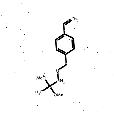 C=Cc1ccc(CO[SiH2]C(C)(OC)OC)cc1